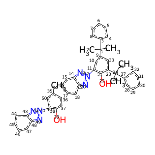 CC(C)(c1ccccc1)c1cc(-n2nc3ccccc3n2)c(O)c(C(C)(C)c2ccccc2)c1.Cc1ccc(O)c(-n2nc3ccccc3n2)c1